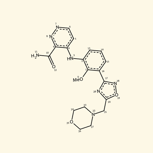 COc1c(Nc2ccnnc2C(N)=O)cccc1-c1noc(CN2CCOCC2)n1